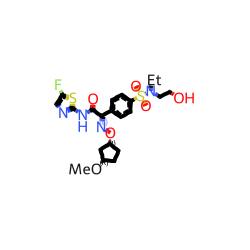 CCN(CCO)S(=O)(=O)c1ccc(/C(=N\O[C@@H]2CC[C@@H](OC)C2)C(=O)Nc2ncc(F)s2)cc1